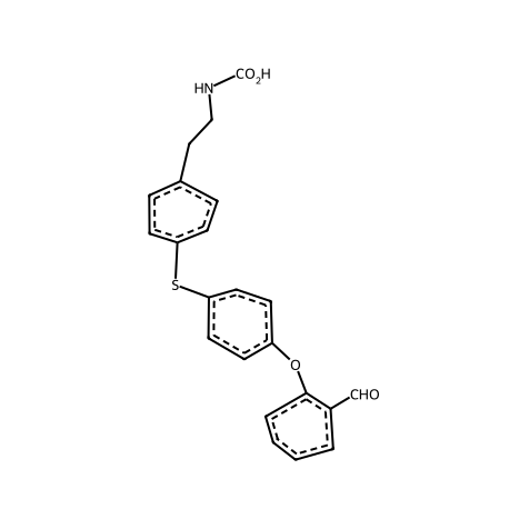 O=Cc1ccccc1Oc1ccc(Sc2ccc(CCNC(=O)O)cc2)cc1